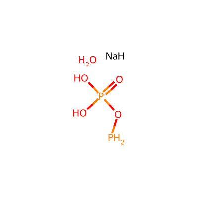 O.O=P(O)(O)OP.[NaH]